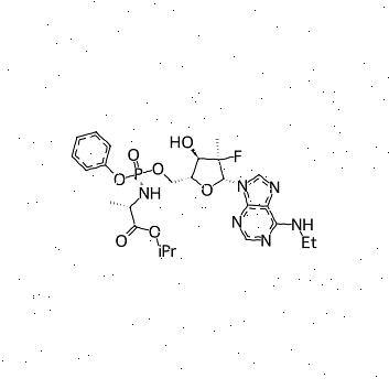 CCNc1ncnc2c1ncn2[C@@H]1O[C@H](CO[P@@](=O)(N[C@@H](C)C(=O)OC(C)C)Oc2ccccc2)[C@@H](O)[C@@]1(C)F